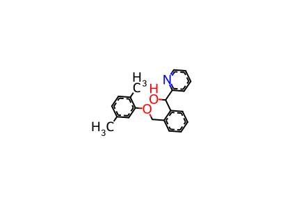 Cc1ccc(C)c(OCc2ccccc2C(O)c2ccccn2)c1